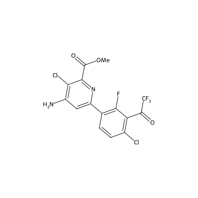 COC(=O)c1nc(-c2ccc(Cl)c(C(=O)C(F)(F)F)c2F)cc(N)c1Cl